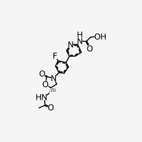 CC(=O)NC[C@H]1CN(c2ccc(-c3ccc(NC(=O)CO)nc3)c(F)c2)C(=O)O1